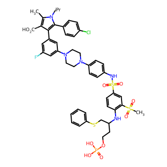 Cc1c(C(=O)O)c(-c2cc(F)cc(N3CCN(c4ccc(NS(=O)(=O)c5ccc(NC(CCOP(=O)(O)O)CSc6ccccc6)c(S(C)(=O)=O)c5)cc4)CC3)c2)c(-c2ccc(Cl)cc2)n1C(C)C